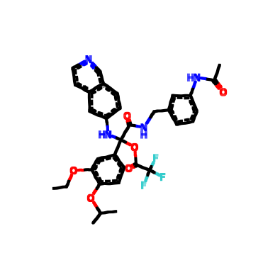 CCOc1cc(C(Nc2ccc3cnccc3c2)(OC(=O)C(F)(F)F)C(=O)NCc2cccc(NC(C)=O)c2)ccc1OC(C)C